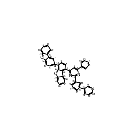 c1ccc(-c2cc(-c3ccc(-c4ccc5oc6ccccc6c5c4)c4oc5ccccc5c34)nc(-c3cccc(-c4cccnc4)c3)n2)cc1